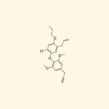 C#CCc1cc(OC)c(Oc2cc(CC=C)c(OCCC)cc2Cl)c(OC)c1